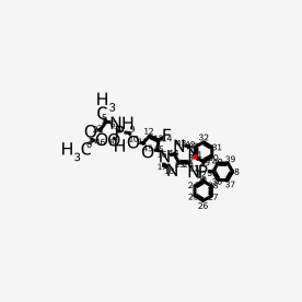 CC1OC(C(C)N[PH](=O)COC2C=C(F)C(n3cnc4c(N=P(c5ccccc5)(c5ccccc5)c5ccccc5)ncnc43)O2)O1